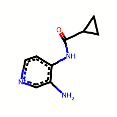 Nc1cnccc1NC(=O)C1CC1